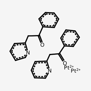 O=C(Cc1ccccn1)c1ccccc1.O=C(Cc1ccccn1)c1ccccc1.[Pt+2].[Pt+2]